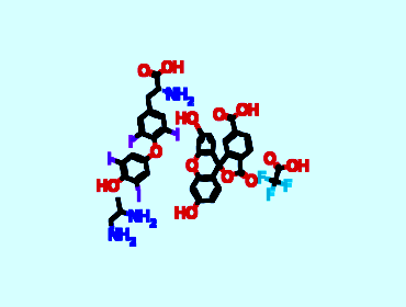 CC(N)CN.N[C@H](Cc1cc(I)c(Oc2cc(I)c(O)c(I)c2)c(I)c1)C(=O)O.O=C(O)C(F)(F)F.O=C(O)c1ccc2c(c1)C1(OC2=O)c2ccc(O)cc2Oc2cc(O)ccc21